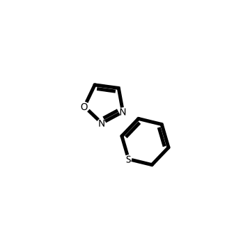 C1=CCSC=C1.c1conn1